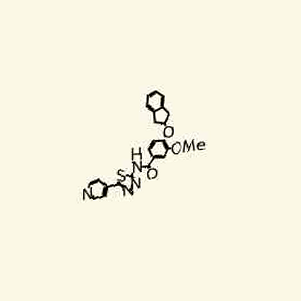 COc1cc(C(=O)Nc2nnc(-c3ccncc3)s2)ccc1OC1Cc2ccccc2C1